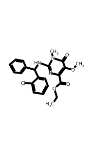 CCOC(=O)c1nc(NC(c2ccccc2)c2ccccc2Cl)n(C)c(=O)c1OC